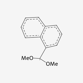 CO[C](OC)c1cccc2ccccc12